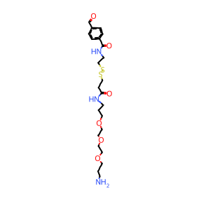 NCCCOCCOCCOCCCNC(=O)CCSSCCNC(=O)c1ccc(C=O)cc1